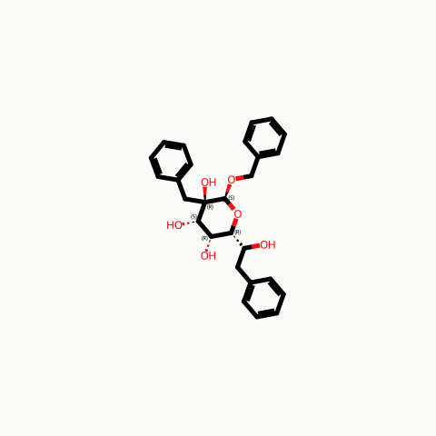 OC(Cc1ccccc1)[C@H]1O[C@H](OCc2ccccc2)[C@@](O)(Cc2ccccc2)[C@@H](O)[C@H]1O